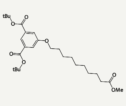 COC(=O)CCCCCCCCCOc1cc(C(=O)OC(C)(C)C)cc(C(=O)OC(C)(C)C)c1